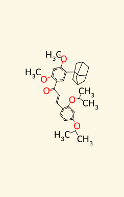 COc1cc(OC)c(C23CC4CC(CC(C4)C2)C3)cc1C(=O)C=Cc1ccc(OC(C)C)cc1OC(C)C